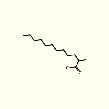 CCCCCCCCCCC(C)C(=O)Cl